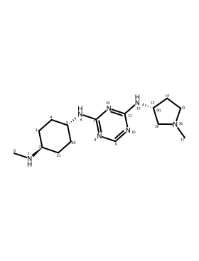 CN[C@H]1CC[C@H](Nc2ncnc(N[C@@H]3CCN(C)C3)n2)CC1